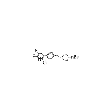 CCCC[C@H]1CC[C@H](CCc2ccc(-c3cc(F)c(F)nc3Cl)cc2)CC1